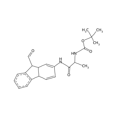 CC(NC(=O)OC(C)(C)C)C(=O)NC1=CC2C(C=O)c3ccccc3C2C=C1